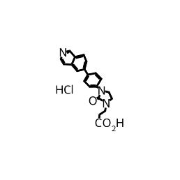 Cl.O=C(O)CCN1CCN(c2ccc(-c3ccc4cnccc4c3)cc2)C1=O